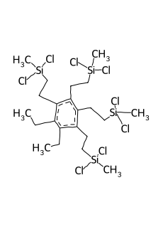 CCc1c(CC)c(CC[Si](C)(Cl)Cl)c(CC[Si](C)(Cl)Cl)c(CC[Si](C)(Cl)Cl)c1CC[Si](C)(Cl)Cl